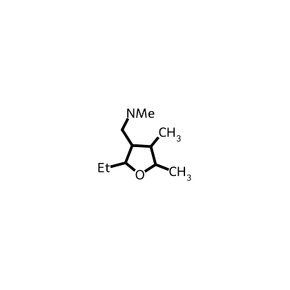 CCC1OC(C)C(C)C1CNC